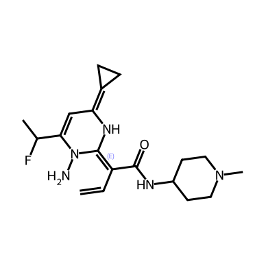 C=C/C(C(=O)NC1CCN(C)CC1)=C1/NC(=C2CC2)C=C(C(C)F)N1N